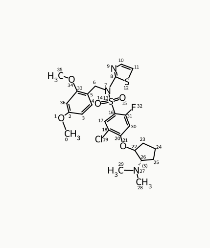 COc1ccc(CN(c2nccs2)S(=O)(=O)c2cc(Cl)c(OC3CCC[C@@H]3N(C)C)cc2F)c(OC)c1